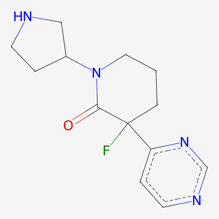 O=C1N(C2CCNC2)CCCC1(F)c1ccncn1